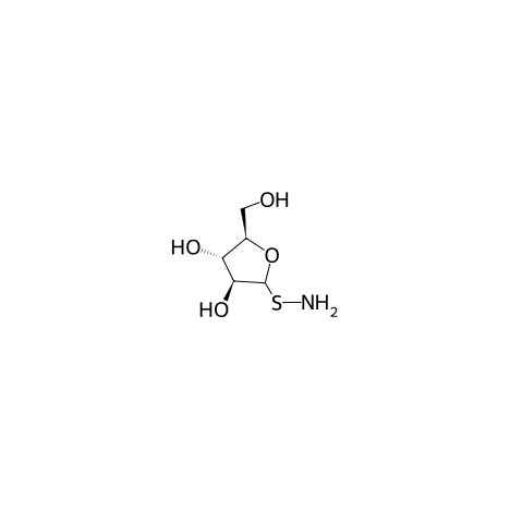 NSC1O[C@H](CO)[C@@H](O)[C@@H]1O